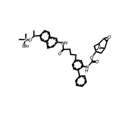 CC(O[Si](C)(C)C(C)(C)C)c1ccc2cc(NC(=O)CCCc3ccc(-c4ccccc4)c(NC(=O)OC4CC5C6OC6C(C4)N5C)c3)ccc2c1